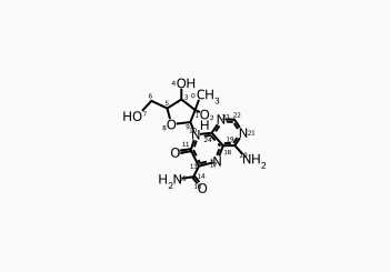 CC1(O)C(O)C(CO)OC1n1c(=O)c(C(N)=O)nc2c(N)ncnc21